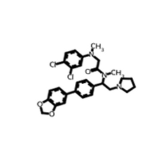 CN(CC(=O)N(C)C(CN1CCCC1)c1ccc(-c2ccc3c(c2)OCO3)cc1)c1ccc(Cl)c(Cl)c1